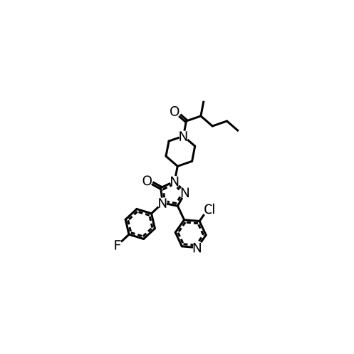 CCCC(C)C(=O)N1CCC(n2nc(-c3ccncc3Cl)n(-c3ccc(F)cc3)c2=O)CC1